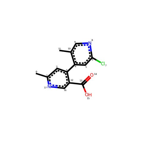 Cc1cc(-c2cc(Cl)ncc2C)c(C(=O)O)cn1